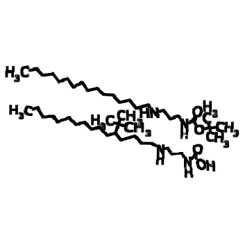 CCCCCCCCCCCC(CCCCNCCCNC(=O)O)C(C)(C)C.CCCCCCCCCCCCCCCCNCCCNC(=O)OC(C)(C)C